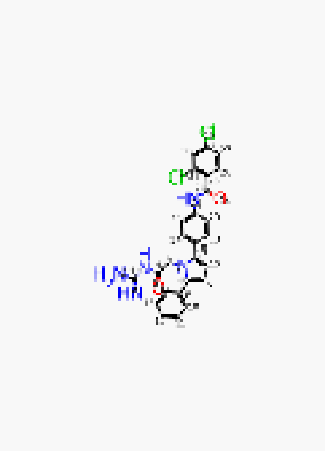 N=C(N)NC(=O)Cn1c(-c2ccccc2)ccc1-c1ccc(NC(=O)c2ccc(Cl)cc2Cl)cc1